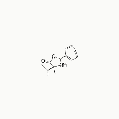 CC(C)C1(C)NC(c2ccccc2)OC1=O